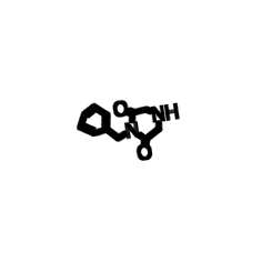 O=C1CNCC(=O)N1Cc1ccccc1